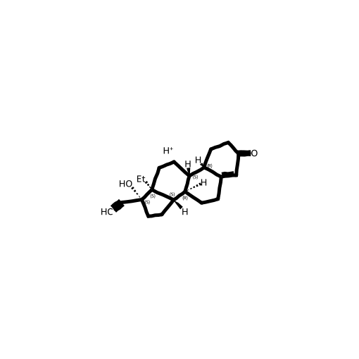 C#C[C@]1(O)CC[C@H]2[C@@H]3CCC4=CC(=O)CC[C@@H]4[C@H]3CC[C@@]21CC.[H+]